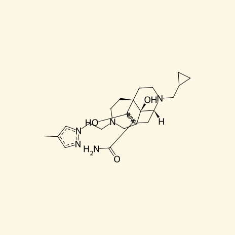 Cc1cnn(CCN2CC[C@]34CCN(CC5CC5)[C@H](Cc5cc(C(N)=O)c(O)cc53)[C@]4(O)CC2)c1